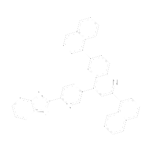 c1ccc2c(-c3ccc4nc(-c5cccc6ccccc56)cc(-c5ccc(-c6nc7ccccc7o6)nc5)c4c3)cccc2c1